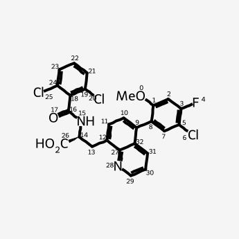 COc1cc(F)c(Cl)cc1-c1ccc(C[C@H](NC(=O)c2c(Cl)cccc2Cl)C(=O)O)c2ncccc12